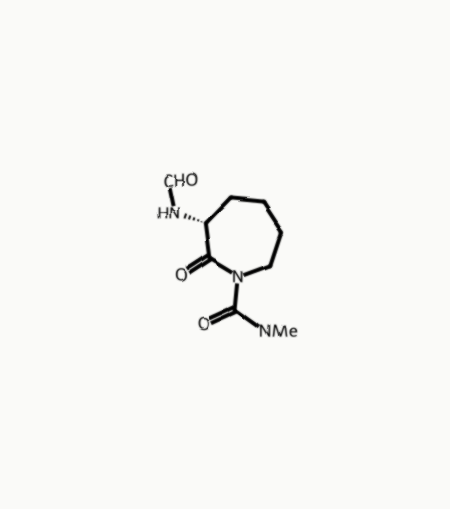 CNC(=O)N1CCCC[C@@H](NC=O)C1=O